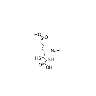 O=C(O)C(S)C(S)CCCCS(=O)O.[NaH]